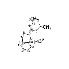 CCCN(CCC)C1CCc2ccccc2C1.Cl